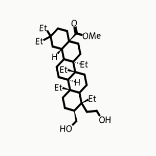 CCC1(CC)CC[C@]2(C(=O)OC)CC[C@]3(CC)C(CC[C@@H]4[C@@]5(CC)CC[C@H](CO)[C@@](CC)(CCO)C5CC[C@]43CC)[C@@H]2C1